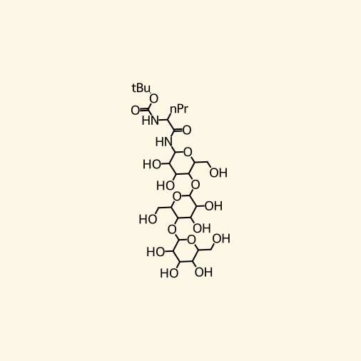 CCCC(NC(=O)OC(C)(C)C)C(=O)NC1OC(CO)C(OC2OC(CO)C(OC3OC(CO)C(O)C(O)C3O)C(O)C2O)C(O)C1O